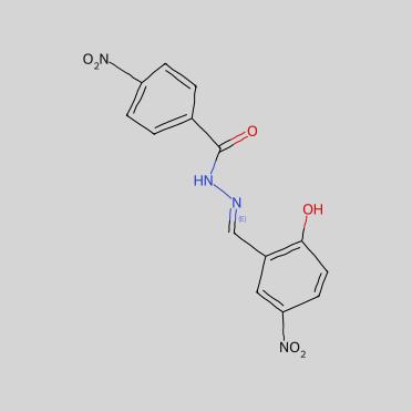 O=C(N/N=C/c1cc([N+](=O)[O-])ccc1O)c1ccc([N+](=O)[O-])cc1